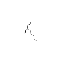 CCCC(C=O)[C@H](I)CCCBr